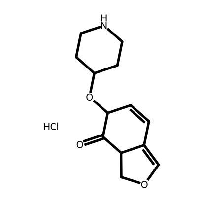 Cl.O=C1C(OC2CCNCC2)C=CC2=COCC12